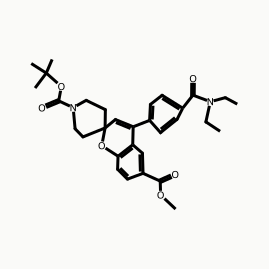 CCN(CC)C(=O)c1ccc(C2=CC3(CCN(C(=O)OC(C)(C)C)CC3)Oc3ccc(C(=O)OC)cc32)cc1